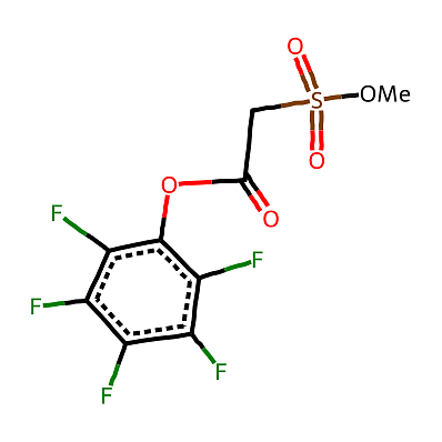 COS(=O)(=O)CC(=O)Oc1c(F)c(F)c(F)c(F)c1F